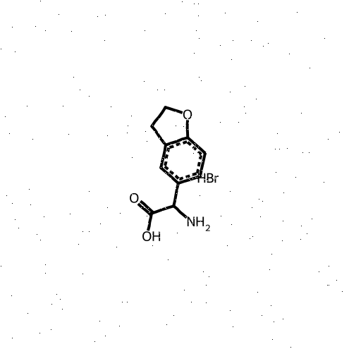 Br.NC(C(=O)O)c1ccc2c(c1)CCO2